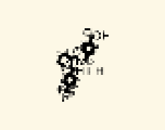 C[C@H](NC(=O)C1CCCCN1Cc1ccc(C(F)(F)F)cc1)c1ccc(C(=O)O)cc1.[LiH]